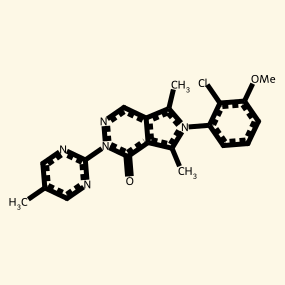 COc1cccc(-n2c(C)c3cnn(-c4ncc(C)cn4)c(=O)c3c2C)c1Cl